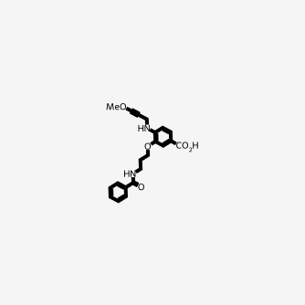 COC#CCNc1ccc(C(=O)O)cc1OCCCNC(=O)c1ccccc1